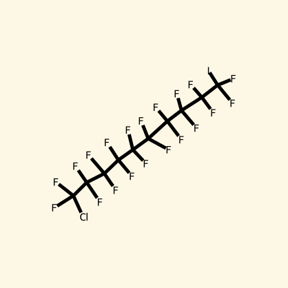 FC(F)(Cl)C(F)(F)C(F)(F)C(F)(F)C(F)(F)C(F)(F)C(F)(F)C(F)(F)C(F)(F)C(F)(F)I